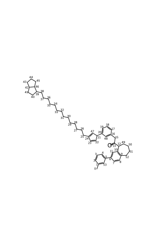 Cc1cccc(-c2ccc3c(c2)C(C(=O)Cc2cccc(C4C=CC(CCCCCCCCCCCCCCC5CCC6CCCC56)=C4)c2)CCCC3)c1